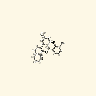 Fc1cccc(B(Oc2cccc3cccnc23)c2ccc(Cl)cc2F)c1